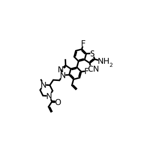 C=CC(=O)N1CCN(C)C(CCn2nc(C)c3c(-c4ccc(F)c5sc(N)c(C#N)c45)c(F)cc(C=C)c32)C1